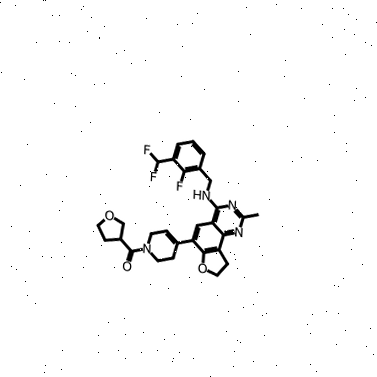 Cc1nc(NCc2cccc(C(F)F)c2F)c2cc(C3=CCN(C(=O)C4CCOC4)CC3)c3c(c2n1)CCO3